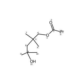 CC(C)C(=O)OCC(C)(C)CC(C)(C)O